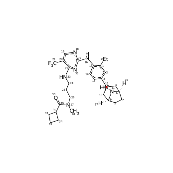 CCc1cc(N2C[C@H]3CC[C@@H](C2)N3C)ccc1Nc1ncc(C(F)(F)F)c(NCCCN(C)C(=O)C2CCC2)n1